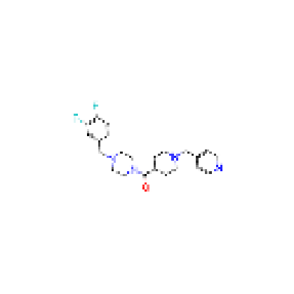 O=C(C1CCN(Cc2ccncc2)CC1)N1CCN(Cc2ccc(F)c(F)c2)CC1